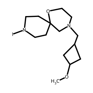 COC1CC(CN2CCOC3(CCN(I)CC3)C2)C1